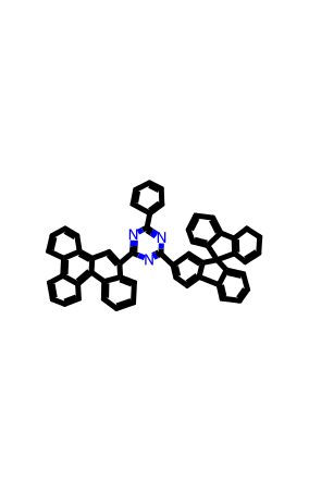 C1=CC2=C(CC1)c1ccccc1C21c2ccccc2-c2ccc(-c3nc(-c4ccccc4)nc(-c4cc5c6ccccc6c6ccccc6c5c5ccccc45)n3)cc21